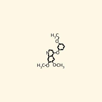 CCOc1cccc(Oc2ccnc3cc(OC)c(OC)cc23)c1